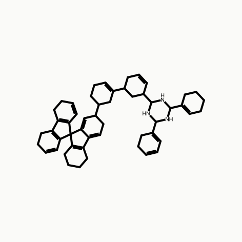 C1=CCCC(C2NC(C3=CCCCC3)NC(C3C=CCC(C4=CCCC(C5C=C6C(=CC5)C5=C(CCCC5)C65C6=C(CCC=C6)C6=C5C=CCC6)C4)C3)N2)=C1